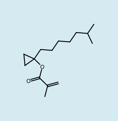 C=C(C)C(=O)OC1(CCCCCC(C)C)CC1